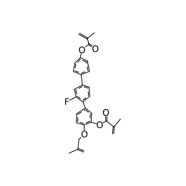 C=C(C)COc1ccc(-c2ccc(-c3ccc(OC(=O)C(=C)C)cc3)cc2F)cc1OC(=O)C(=C)C